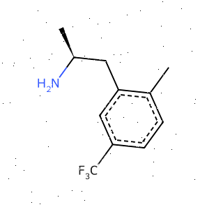 Cc1ccc(C(F)(F)F)cc1C[C@H](C)N